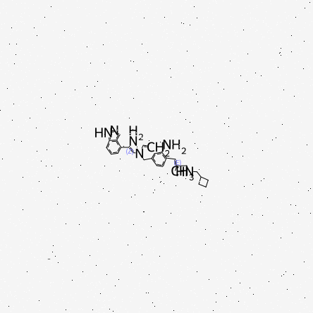 C=CN(/C=C(\N)c1cccc2[nH]ncc12)Cc1ccc(/C=C(\C)CNCC2CCC2)c(N)c1